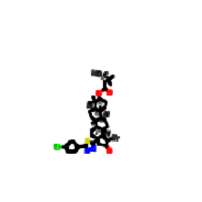 CC(C)C1=C2[C@H]3CC[C@@H]4[C@@]5(C)CC[C@H](OC(=O)CC(C)(C)C(=O)O)C(C)(C)[C@@H]5CC[C@@]4(C)[C@]3(C)CC[C@@]2(c2nnc(-c3ccc(Cl)cc3)s2)CC1=O